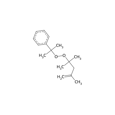 C=C(C)CC(C)(C)OOC(C)(C)c1ccccc1